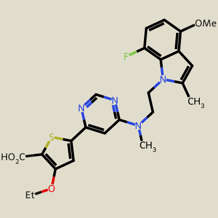 CCOc1cc(-c2cc(N(C)CCn3c(C)cc4c(OC)ccc(F)c43)ncn2)sc1C(=O)O